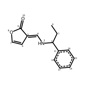 CCC(NC=C1C=COC1=O)c1ccccc1